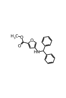 COC(=O)c1cc(NC(c2ccccc2)c2ccccc2)co1